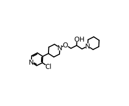 OC(CON1CCC(c2ccncc2Cl)CC1)CN1CCCCC1